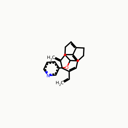 C=CC1=CC=C(/C2=C\CCC(Oc3cccnc3)CCC2)CC(=C)C1